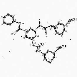 C#Cc1cccc(NC(=O)Nc2cc(NC(=O)Nc3cccc(C#C)c3)cc(C(=O)Oc3ccccc3)c2)c1